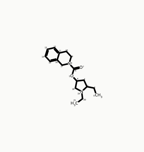 CCC1CC(OC(=O)N2CCc3ccccc3C2)CN1CC